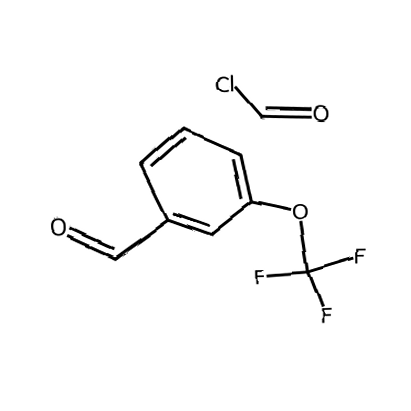 O=CCl.O=Cc1cccc(OC(F)(F)F)c1